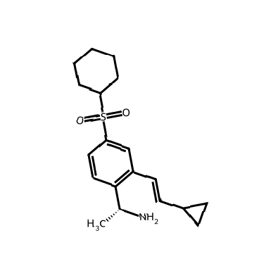 C[C@@H](N)c1ccc(S(=O)(=O)C2CCCCC2)cc1/C=C/C1CC1